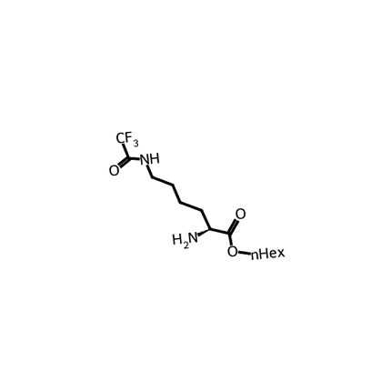 CCCCCCOC(=O)[C@@H](N)CCCCNC(=O)C(F)(F)F